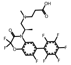 C[C@H](CN(C)CCC(=O)O)N1C(=O)C(F)(F)Oc2cc(F)c(-c3c(F)c(F)c(F)c(F)c3F)cc21